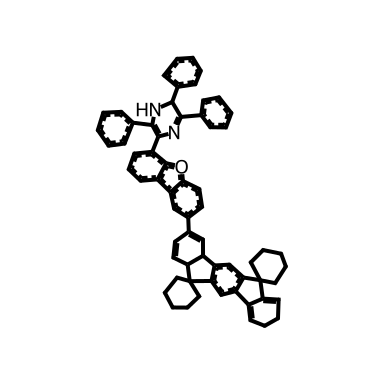 C1=CC2C(C=C1c1ccc3oc4c(C5=C(c6ccccc6)NC(c6ccccc6)C(c6ccccc6)=N5)cccc4c3c1)c1cc3c(cc1C21CCCCC1)C1=CCCC=C1C31CCCCC1